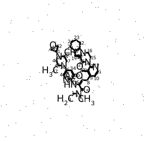 C=CN(C)C(=O)/C(=C\Cc1ccnc(N2CCn3c(cc4c3CCCC4)C2=O)c1COC(C)=O)Nc1ccc(N2C[C@@H](C)N(C3COC3)C[C@@H]2C)cn1